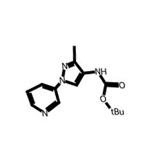 Cc1nn(-c2cccnc2)cc1NC(=O)OC(C)(C)C